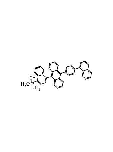 C[Si](C)(C)c1ccc(-c2c3ccccc3c(-c3ccc(-c4cccc5ccccc45)cc3)c3ccccc23)c2ccccc12